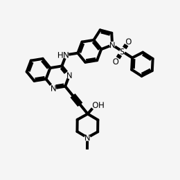 CN1CCC(O)(C#Cc2nc(Nc3ccc4c(ccn4S(=O)(=O)c4ccccc4)c3)c3ccccc3n2)CC1